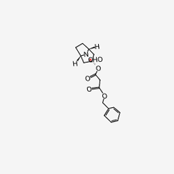 O=CN1[C@@H]2CC[C@H]1C[C@@H](OC(=O)CC(=O)OCc1ccccc1)C2